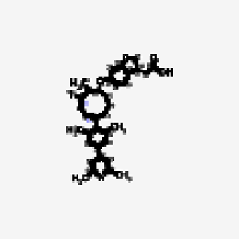 C=C1/C(F)=C\C=C(\c2c(C)cc(-c3cc(C)nc(C)c3)cc2C)CCC[C@H]1Oc1ccc2c(c1)OC[C@H]2CC(=O)O